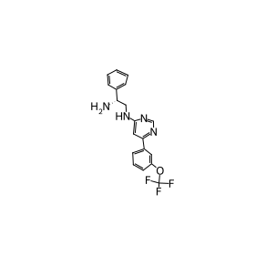 N[C@@H](CNc1cc(-c2cccc(OC(F)(F)F)c2)ncn1)c1ccccc1